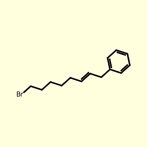 BrCCCCCC=CCc1ccccc1